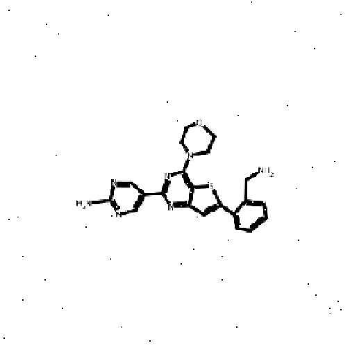 NCc1c[c]ccc1-c1cc2nc(-c3cnc(N)nc3)nc(N3CCOCC3)c2s1